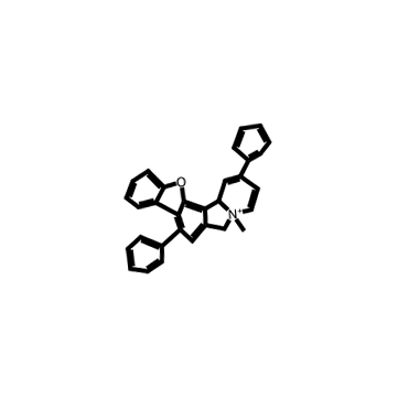 C[N+]12C=CC(c3ccccc3)=CC1c1c(cc(-c3ccccc3)c3c1oc1ccccc13)C2